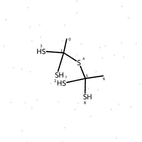 CC(S)(S)SC(C)(S)S